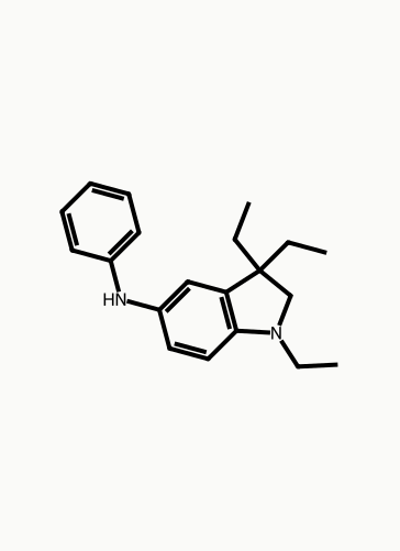 CCN1CC(CC)(CC)c2cc(Nc3ccccc3)ccc21